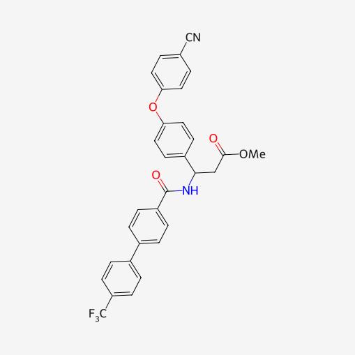 COC(=O)CC(NC(=O)c1ccc(-c2ccc(C(F)(F)F)cc2)cc1)c1ccc(Oc2ccc(C#N)cc2)cc1